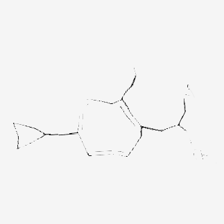 CC(Cl)c1ccc(C2CC2)cc1F